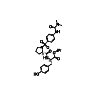 CC(C)OC(=O)[C@H](Cc1ccc(O)cc1)NC(=O)[C@@H]1CCCN1S(=O)(=O)c1ccc(NC(=O)N(C)C)cc1